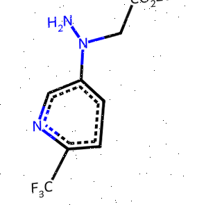 CCOC(=O)CN(N)c1ccc(C(F)(F)F)nc1